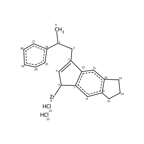 CC(CC1=C[CH]([Zr])c2cc3c(cc21)CCC3)c1ccccc1.Cl.Cl